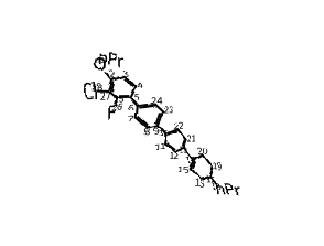 CCCOc1ccc(-c2ccc(-c3ccc(C4=CCC(CCC)CC4)cc3)cc2)c(F)c1Cl